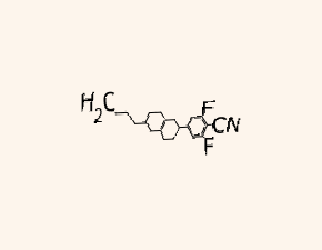 C=CCCC1CCC2=C(CCC(c3cc(F)c(C#N)c(F)c3)C2)C1